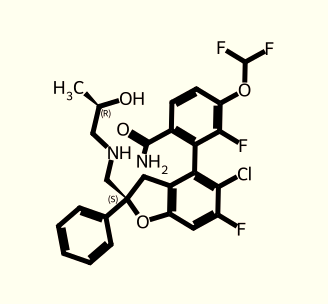 C[C@@H](O)CNC[C@@]1(c2ccccc2)Cc2c(cc(F)c(Cl)c2-c2c(C(N)=O)ccc(OC(F)F)c2F)O1